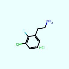 Cl.NCCc1cccc(Cl)c1F